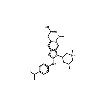 COc1cc2c(cc1CC(=O)O)nc(Nc1ccc(C(C)C)cc1)n2C1CC(C)CC(C)(C)C1